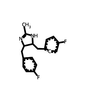 CC1=NC(Cc2ccc(F)cc2)C(Cc2ccc(F)cc2)N1